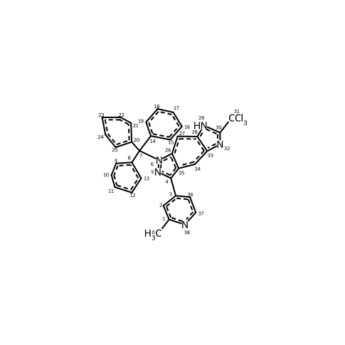 Cc1cc(-c2nn(C(c3ccccc3)(c3ccccc3)c3ccccc3)c3cc4[nH]c(C(Cl)(Cl)Cl)nc4cc23)ccn1